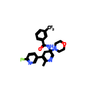 CC1=C(c2ccc(F)nc2)CC(NC(=O)c2cccc(C(F)(F)F)c2)(N2CCOCC2)C=N1